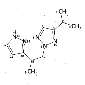 CC(C)c1cnn(CC(C)c2cc[nH]n2)n1